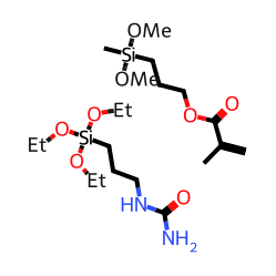 C=C(C)C(=O)OCCC[Si](C)(OC)OC.CCO[Si](CCCNC(N)=O)(OCC)OCC